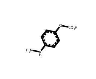 NNc1ccc(OC(=O)O)cc1